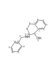 OC1c2ccccc2CCC1NCc1ccccc1